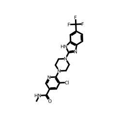 CNC(=O)c1cnc(N2CCN(c3nc4ccc(C(F)(F)F)cc4[nH]3)CC2)c(Cl)c1